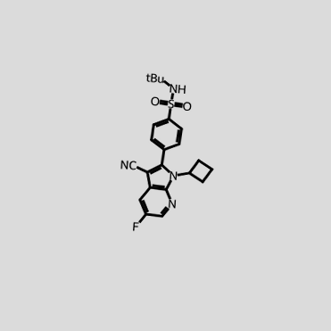 CC(C)(C)NS(=O)(=O)c1ccc(-c2c(C#N)c3cc(F)cnc3n2C2CCC2)cc1